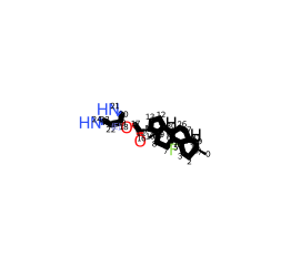 C[C@H]1CC[C@]2(F)C3CC[C@@]4(C)C(CC[C@@H]4C(=O)CO/C(C=N)=C/C=N)[C@@H]3CC[C@@H]2C1